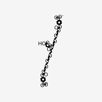 O=C(O)CC(=O)OC(CCOCCOCCOCCOC(=O)Oc1ccc([N+](=O)[O-])cc1)COCCOCCOCCOC(=O)Oc1ccc([N+](=O)[O-])cc1